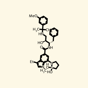 CCc1cn(C)c2c(N3CCCS3(O)O)cc(C(=O)N[C@@H](Cc3ccccc3)[C@@H](O)CNC(C)(C)c3cccc(OC)c3)cc12